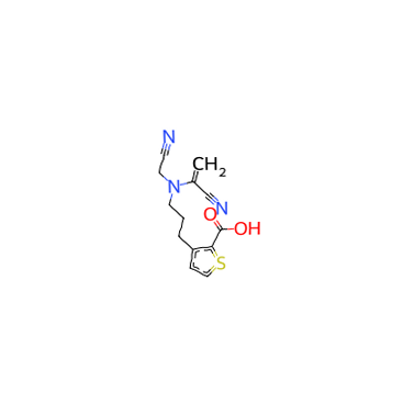 C=C(C#N)N(CC#N)CCCc1ccsc1C(=O)O